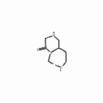 O=C1CNCC2CCNCCN12